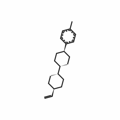 C=C[C@H]1CC[C@H]([C@H]2CC[C@H](c3ccc(C)cc3)CC2)CC1